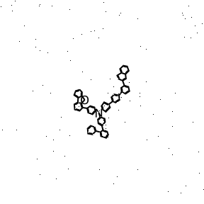 c1ccc(-c2ccccc2-c2ccc(N(c3ccc(-c4ccc(-c5cccc(-c6ccc7ccccc7c6)c5)cc4)cc3)c3ccc(-c4cccc5c4oc4ccccc45)cc3)cc2)cc1